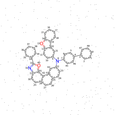 c1ccc(-c2ccc(N(c3ccc4oc5ccccc5c4c3)c3ccc4ccc5ccc6nc(-c7ccccc7)oc6c5c4c3)cc2)cc1